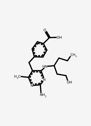 CCCC(CCO)Nc1nc(N)nc(C)c1Cc1ccc(C(=O)O)cc1